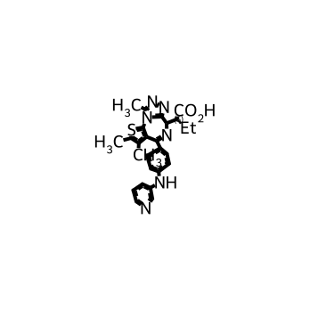 CC[C@H](C(=O)O)C1N=C(c2ccc(Nc3cccnc3)cc2)c2c(sc(C)c2C)-n2c(C)nnc21